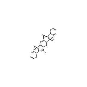 Cp1c2cc3c4sc5ccccc5c4p(C)c3cc2c2sc3ccccc3c21